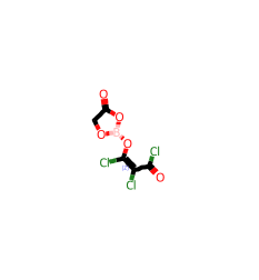 O=C1COB(O/C(Cl)=C(/Cl)C(=O)Cl)O1